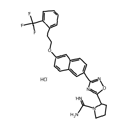 Cl.N=C(N)N1CCCC1c1nc(-c2ccc3cc(OCCc4ccccc4C(F)(F)F)ccc3c2)no1